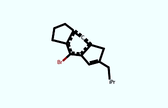 CC(C)CC1=Cc2c(cc3c(c2Br)CCC3)C1